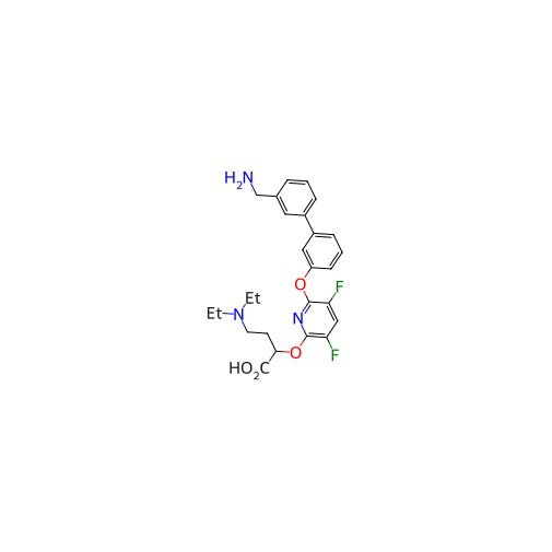 CCN(CC)CCC(Oc1nc(Oc2cccc(-c3cccc(CN)c3)c2)c(F)cc1F)C(=O)O